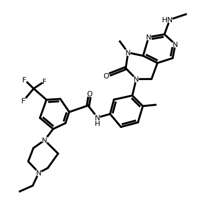 CCN1CCN(c2cc(C(=O)Nc3ccc(C)c(N4Cc5cnc(NC)nc5N(C)C4=O)c3)cc(C(F)(F)F)c2)CC1